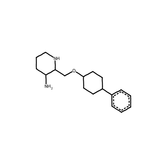 NC1CCCNC1COC1CCC(c2ccccc2)CC1